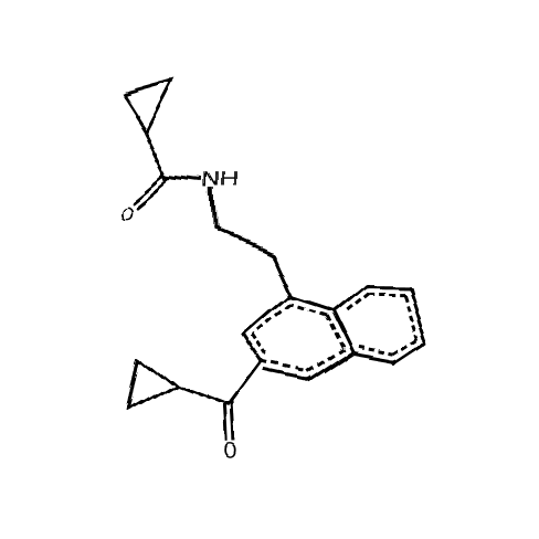 O=C(NCCc1cc(C(=O)C2CC2)cc2ccccc12)C1CC1